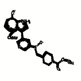 COc1ccc(Cl)c2[nH]cc(-c3cncc([S+]([O-])CC4CCN(C(=O)OC(C)(C)C)CC4)c3)c12